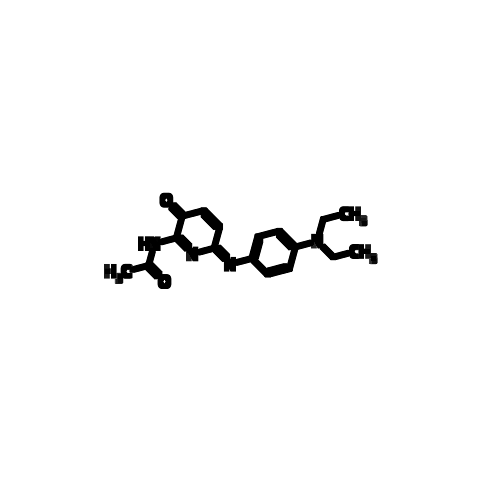 CCN(CC)c1ccc(N=C2C=CC(=O)C(NC(C)=O)=N2)cc1